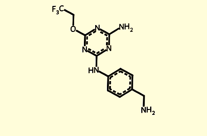 NCc1ccc(Nc2nc(N)nc(OCC(F)(F)F)n2)cc1